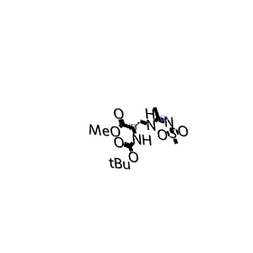 COC(=O)[C@H](CN/C(C)=N\S(C)(=O)=O)NC(=O)OC(C)(C)C